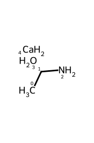 CCN.O.[CaH2]